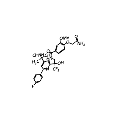 COc1cc(C(=O)NC[C@@](O)(c2cc(C(C)(C)NCl)cc(-c3ccc(F)cc3)n2)C(F)(F)F)ccc1OCC(N)=O